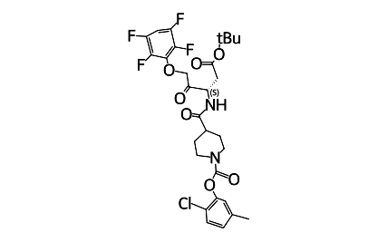 Cc1ccc(Cl)c(OC(=O)N2CCC(C(=O)N[C@@H](CC(=O)OC(C)(C)C)C(=O)COc3c(F)c(F)cc(F)c3F)CC2)c1